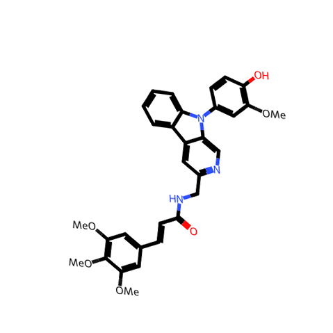 COc1cc(-n2c3ccccc3c3cc(CNC(=O)/C=C/c4cc(OC)c(OC)c(OC)c4)ncc32)ccc1O